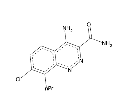 CCCc1c(Cl)ccc2c(N)c(C(N)=O)nnc12